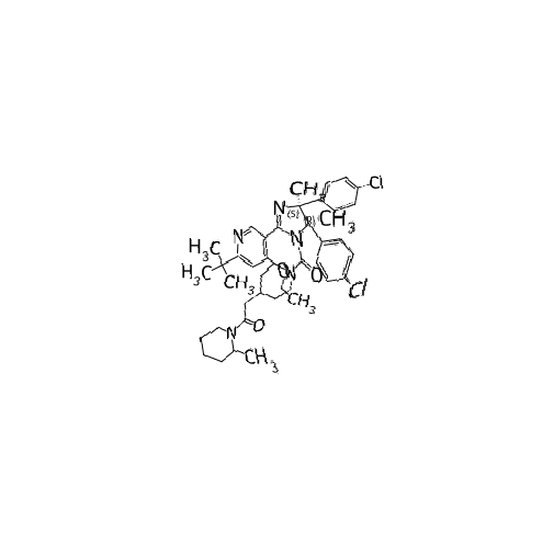 CCOc1cc(C(C)(C)C)ncc1C1=N[C@@](C)(c2ccc(Cl)cc2)[C@@](C)(c2ccc(Cl)cc2)N1C(=O)N1CCC(CC(=O)N2CCCCC2C)CC1